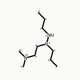 CCCNN(CCC)CCN(C)C